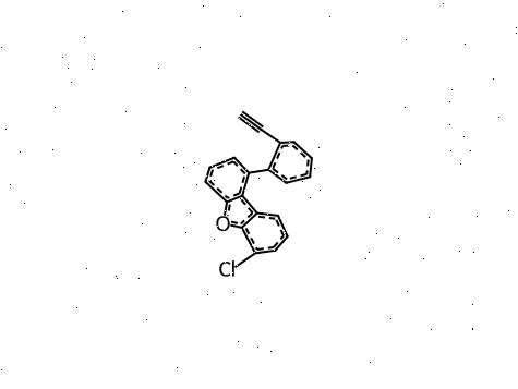 C#Cc1ccccc1-c1cccc2oc3c(Cl)cccc3c12